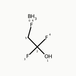 B.OC(F)(F)CF